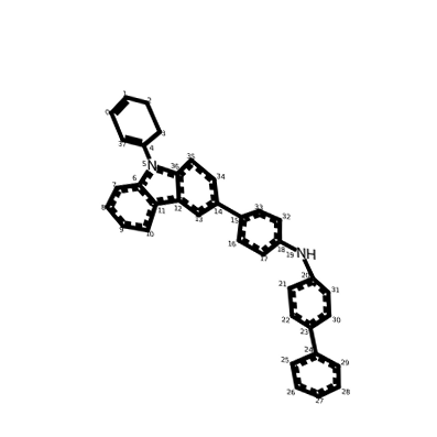 C1=CCCC(n2c3ccccc3c3cc(-c4ccc(Nc5ccc(-c6ccccc6)cc5)cc4)ccc32)=C1